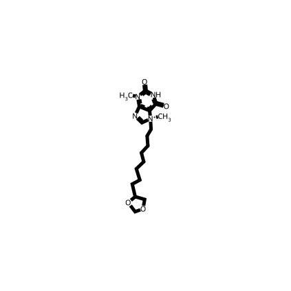 Cn1c2c(c(=O)[nH]c1=O)[N+](C)(CCCCCCCCC1COCO1)C=N2